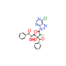 O=C(c1ccccc1)C(O)[C@H]1O[C@@H](n2cnc3c(Cl)ncnc32)[C@H](F)[C@@]1(O)C(=O)c1ccccc1